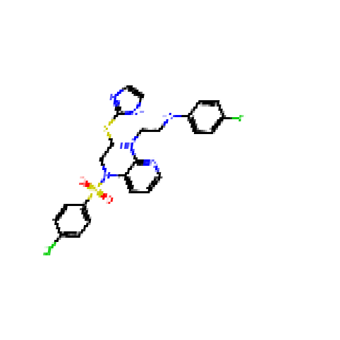 O=S(=O)(c1ccc(Cl)cc1)N(CCSc1ncc[nH]1)c1cccnc1NCCNc1ccc(Cl)cc1